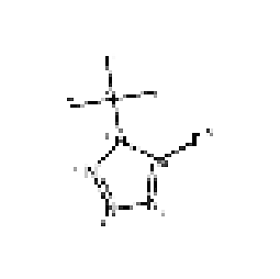 CC(C)(C)n1nnnc1F